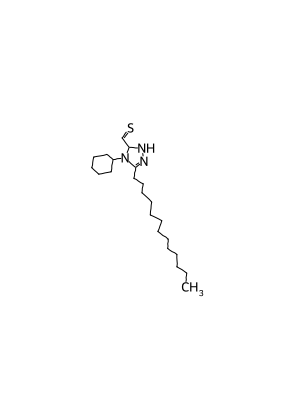 CCCCCCCCCCCCCC1=NNC(C=S)N1C1CCCCC1